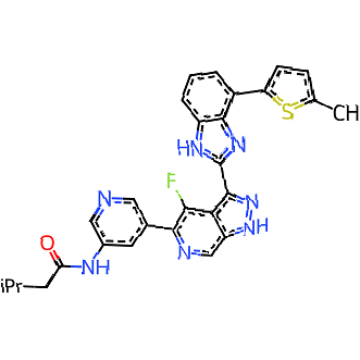 Cc1ccc(-c2cccc3[nH]c(-c4n[nH]c5cnc(-c6cncc(NC(=O)CC(C)C)c6)c(F)c45)nc23)s1